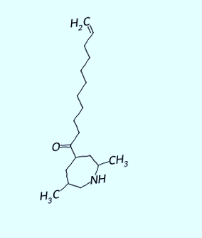 C=CCCCCCCCCC(=O)C1CC(C)CNC(C)C1